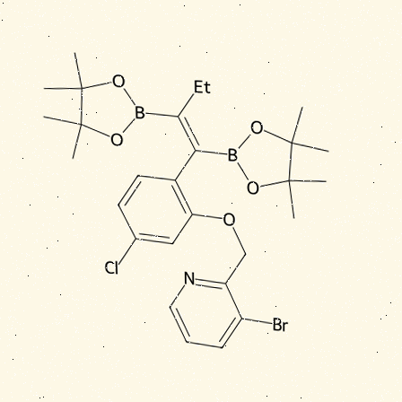 CCC(B1OC(C)(C)C(C)(C)O1)=C(B1OC(C)(C)C(C)(C)O1)c1ccc(Cl)cc1OCc1ncccc1Br